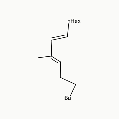 CCCCCCC=CC(C)=CCCC(C)CC